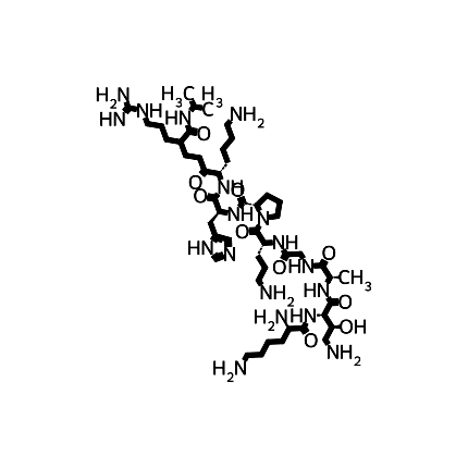 CC(C)NC(=O)C(CCCNC(=N)N)CCC(=O)[C@H](CCCCN)NC(=O)[C@H](Cc1cnc[nH]1)NC(=O)[C@@H]1CCCN1C(=O)[C@@H](CCCN)NC(=O)CNC(=O)[C@H](C)NC(=O)[C@@H](NC(=O)[C@@H](N)CCCCN)[C@@H](O)CN